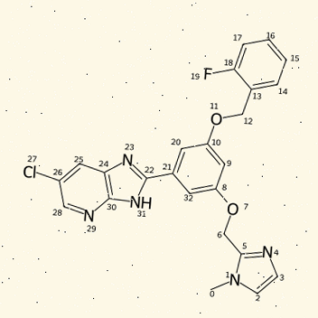 Cn1ccnc1COc1cc(OCc2ccccc2F)cc(-c2nc3cc(Cl)cnc3[nH]2)c1